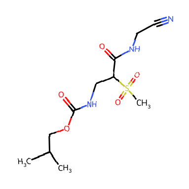 CC(C)COC(=O)NCC(C(=O)NCC#N)S(C)(=O)=O